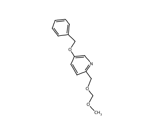 COCOCc1[c]cc(OCc2ccccc2)cn1